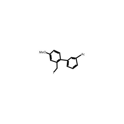 COc1ccc(-c2cccc(C(C)=O)c2)c(CI)c1